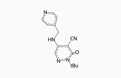 CC(C)(C)n1ncc(NCc2ccncc2)c(C#N)c1=O